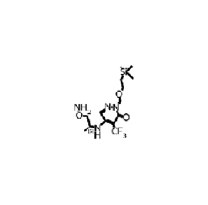 C[C@@H](CON)Nc1cnn(COCC[Si](C)(C)C)c(=O)c1C(F)(F)F